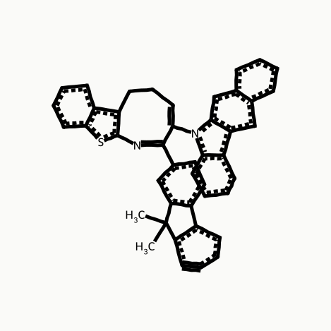 CC1(C)c2c#cccc2-c2ccc(C3=N/c4sc5ccccc5c4CC/C=C\3n3c4ccccc4c4cc5ccccc5cc43)cc21